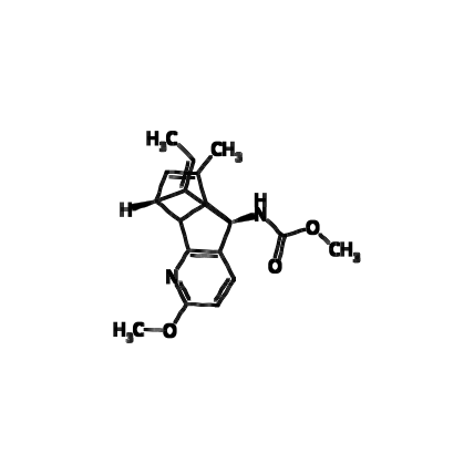 C/C=C1\[C@H]2C=C(C)C3C2c2nc(OC)ccc2[C@]13NC(=O)OC